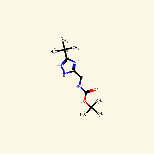 CC(C)(C)OC(=O)NCc1nc(C(C)(C)C)n[nH]1